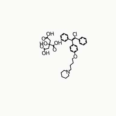 ClC(=C(c1ccccc1)c1ccc(OCCCCN2CCCCC2)cc1)c1ccccc1.O=C(O)CC(O)(CC(=O)O)C(=O)O